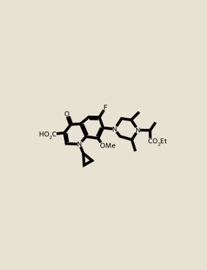 CCOC(=O)C(C)N1C(C)CN(c2c(F)cc3c(=O)c(C(=O)O)cn(C4CC4)c3c2OC)CC1C